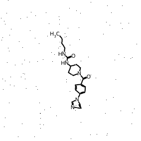 CCCCNC(=O)NC1CCN(C(=O)c2ccc(-n3ccnc3)cc2)CC1